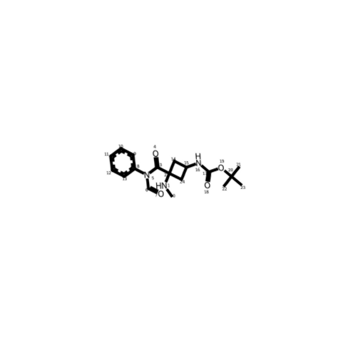 CNC1(C(=O)N(C=O)c2ccccc2)CC(NC(=O)OC(C)(C)C)C1